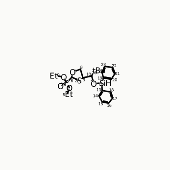 CCOP(=O)(OCC)C1OCC(C(O[SiH](c2ccccc2)c2ccccc2)C(C)(C)C)S1